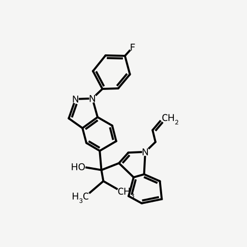 C=CCn1cc(C(O)(c2ccc3c(cnn3-c3ccc(F)cc3)c2)C(C)C)c2ccccc21